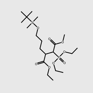 CCOC(=O)C(CCCO[Si](C)(C)C(C)(C)C)C(C(=O)OC)P(=O)(OCC)OCC